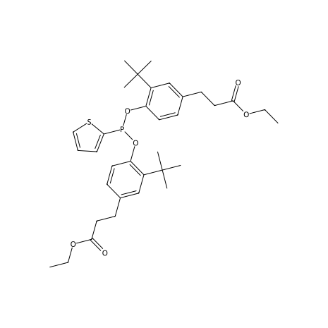 CCOC(=O)CCc1ccc(OP(Oc2ccc(CCC(=O)OCC)cc2C(C)(C)C)c2cccs2)c(C(C)(C)C)c1